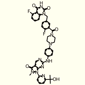 Cn1c(=O)c2cnc(Nc3ccc(N4CCN(C(=O)c5cc(Cn6c(=O)[nH]c(=O)c7c(F)cccc76)ccc5F)CC4)cc3)nc2n1-c1cccc(C(C)(C)O)n1